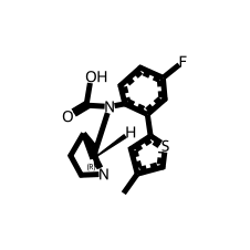 Cc1csc(-c2cc(F)ccc2N(C(=O)O)[C@H]2CN3CCC2CC3)c1